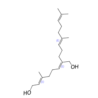 CC(C)=CCC/C(C)=C/CC/C(=C\CC/C(C)=C/CO)CO